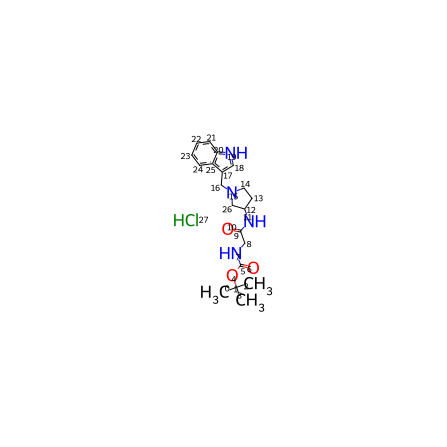 CC(C)(C)OC(=O)NCC(=O)NC1CCN(Cc2c[nH]c3ccccc23)C1.Cl